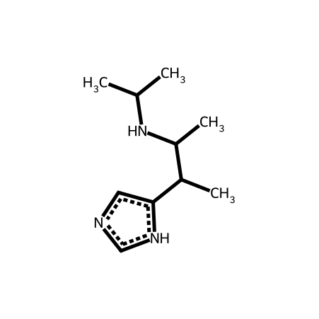 CC(C)NC(C)C(C)c1cnc[nH]1